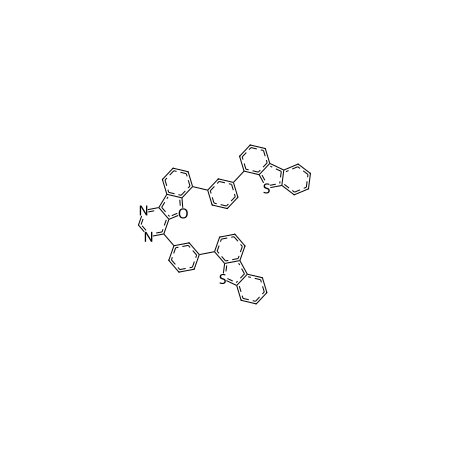 c1cc(-c2cccc3c2oc2c(-c4cccc(-c5cccc6c5sc5ccccc56)c4)ncnc23)cc(-c2cccc3c2sc2ccccc23)c1